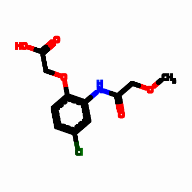 COCC(=O)Nc1cc(Cl)ccc1OCC(=O)O